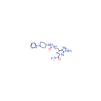 NC(=O)c1nc(CCNC(=O)NC2CCN(c3ccccn3)CC2)c2nc[nH]c2n1